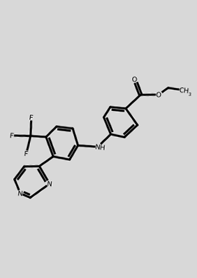 CCOC(=O)c1ccc(Nc2ccc(C(F)(F)F)c(-c3ccncn3)c2)cc1